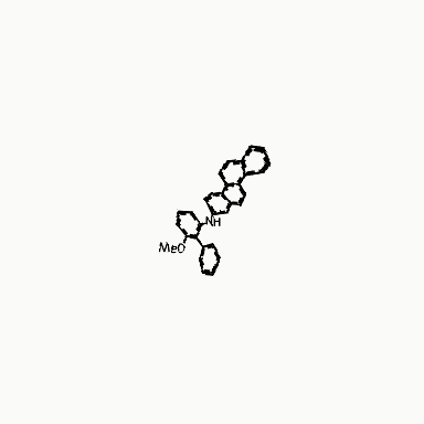 COc1cccc(Nc2ccc3c(ccc4c5ccccc5ccc34)c2)c1-c1ccccc1